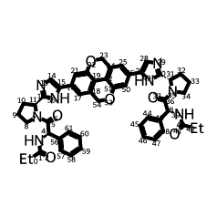 CCC(=O)N[C@@H](C(=O)N1CCC[C@H]1c1ncc(-c2cc3c4c(c2)OCc2cc(-c5cnc([C@@H]6CCCN6C(=O)[C@H](NC(=O)CC)c6ccccc6)[nH]5)cc(c2-4)OC3)[nH]1)c1ccccc1